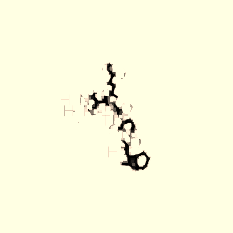 COC(=O)/C=C/CC[C@H](NC(=O)/C(SN)=C(\C)N)C(=O)Nc1cccn(CC(=O)NC2C(C)CC3CCCC2C3)c1=O